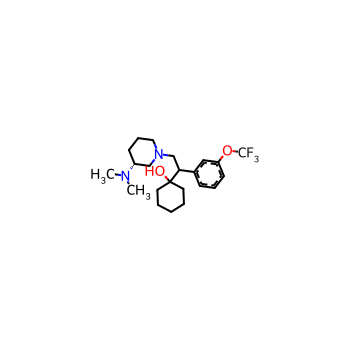 CN(C)[C@@H]1CCCN(CC(c2cccc(OC(F)(F)F)c2)C2(O)CCCCC2)C1